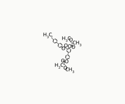 C=C(COC)C(=O)Oc1ccc(-c2ccc(OC(=O)C(C)COC)c(C(=O)Oc3ccc(-c4ccc(CCC)cc4)cc3)c2)cc1